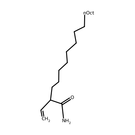 C=CC(CCCCCCCCCCCCCCCC)C(N)=O